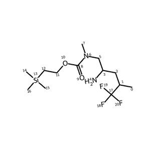 CC(CC(N)CN(C)C(=O)OCC[Si](C)(C)C)C(F)(F)F